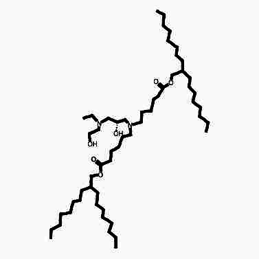 CCCCCCCCC(CCCCCCCC)COC(=O)CCCCCN(CCCCCC(=O)OCC(CCCCCCCC)CCCCCCCC)C[C@H](O)CN(CC)CCO